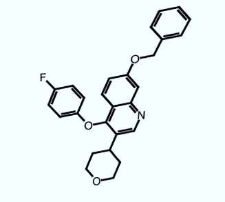 Fc1ccc(Oc2c(C3CCOCC3)cnc3cc(OCc4ccccc4)ccc23)cc1